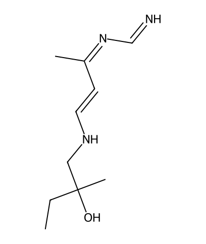 CCC(C)(O)CN/C=C/C(C)=N\C=N